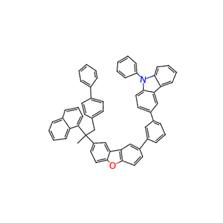 CC(Cc1ccc(-c2ccccc2)cc1)(c1ccc2oc3ccc(-c4cccc(-c5ccc6c(c5)c5ccccc5n6-c5ccccc5)c4)cc3c2c1)c1cccc2ccccc12